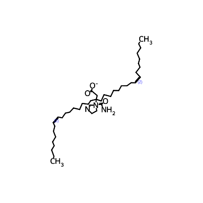 CCCCCCCC/C=C\CCCCCCCCC(CCCCCCCC/C=C\CCCCCCCC)(CC(=O)[O-])[N+]1(C(N)=O)C=NCC1